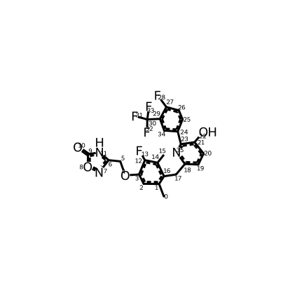 Cc1cc(OCc2noc(=O)[nH]2)c(F)c(C)c1Cc1ccc(O)c(-c2ccc(F)c(C(F)(F)F)c2)n1